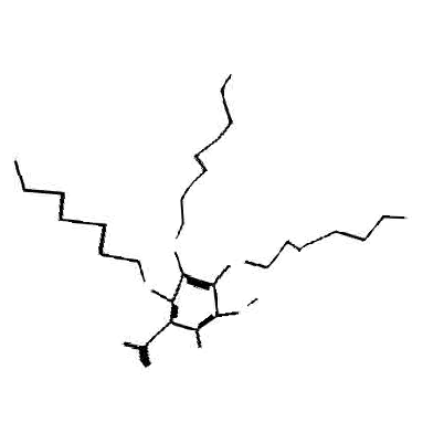 CCCCCCCOc1c(OC)c(O)c(C(=O)O)c(OCCCCCCC)c1OCCCCCCC